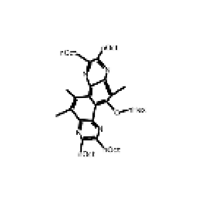 CCCCCCCCc1nc2c(C)c(OCCCCCC)c3c4nc(CCCCCCCC)c(CCCCCCCC)nc4c(C)c(C)c3c2nc1CCCCCCCC